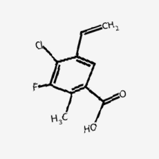 C=Cc1cc(C(=O)O)c(C)c(F)c1Cl